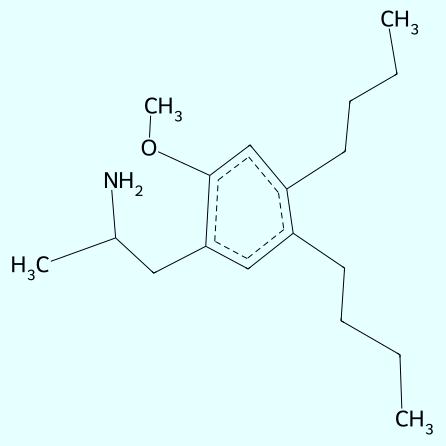 CCCCc1cc(CC(C)N)c(OC)cc1CCCC